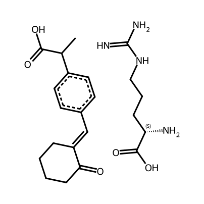 CC(C(=O)O)c1ccc(C=C2CCCCC2=O)cc1.N=C(N)NCCC[C@H](N)C(=O)O